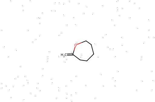 C=C1CCCCCO1